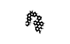 C=Cc1c(C=C)c(-c2cccc(-c3ccc4c(c3)-c3c(ccc5cc6c(C)c(/C=C\C)sc6cc35)C4(C)C)c2)c2c(c1C1=CC=CC(C=C)C1C=C)=CCCC=2